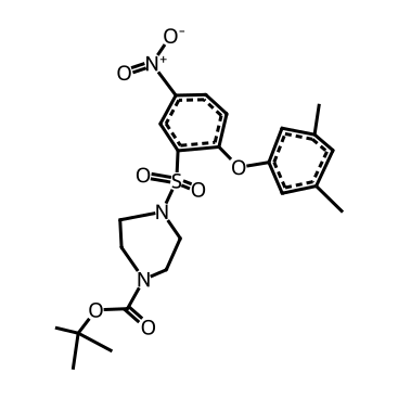 Cc1cc(C)cc(Oc2ccc([N+](=O)[O-])cc2S(=O)(=O)N2CCN(C(=O)OC(C)(C)C)CC2)c1